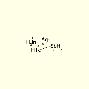 [Ag].[InH3].[SbH2][TeH]